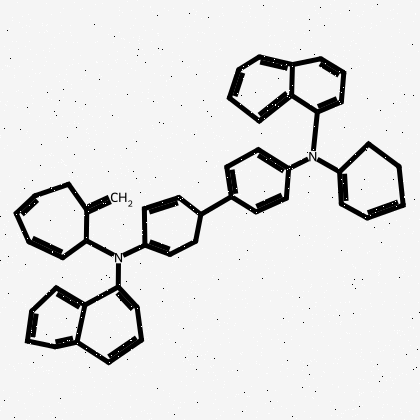 C=C1CC=CC=CC1N(C1=CCC(c2ccc(N(C3=CC=CCC3)c3cccc4ccccc34)cc2)C=C1)c1cccc2ccccc12